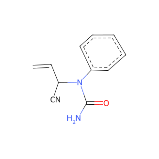 C=CC(C#N)N(C(N)=O)c1ccccc1